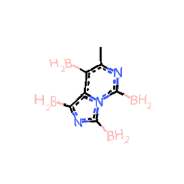 Bc1nc(B)n2c(B)nc(C)c(B)c12